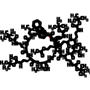 CC(=O)OCCCN(CCC(=O)N[C@@H](CCNC(=O)OC(C)(C)C)C(=O)N[C@H](C(=O)N[C@@H](CCNC(=O)OC(C)(C)C)C(=O)N[C@H]1CCNC(=O)[C@H]([C@@H](C)O)NC(=O)[C@H](CCNC(=O)OC(C)(C)C)NC(=O)[C@H](CCNC(=O)OC(C)(C)C)NC(=O)[C@H](CC(C)C)NC(=O)[C@@H](Cc2ccccc2)NC(=O)[C@H](CCNC(=O)OC(C)(C)C)NC1=O)[C@@H](C)O)C(=O)OCc1ccccc1